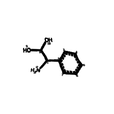 NC(c1ccccc1)C(O)O